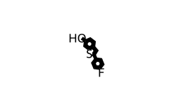 Oc1ccc2cc(-c3ccc(F)cc3)sc2c1